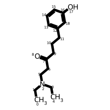 CCN(CC)CCC(=O)CCCc1cccc(O)c1